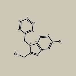 OCc1cc2cc(Br)ccc2n1Cc1ccccc1